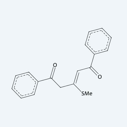 CS/C(=C\C(=O)c1ccccc1)CC(=O)c1ccccc1